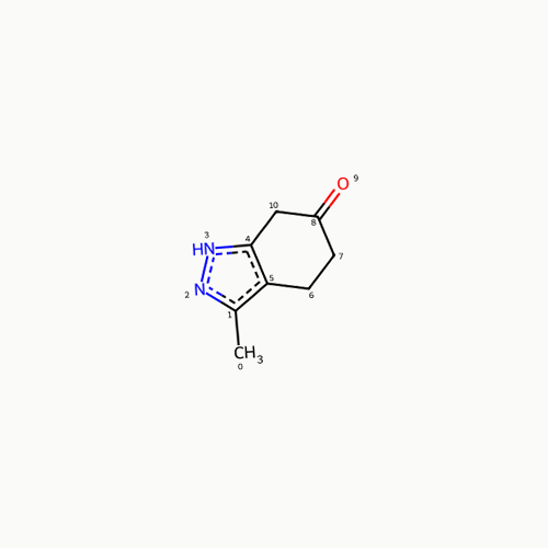 Cc1n[nH]c2c1CCC(=O)C2